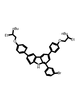 CCCCC(CC)COc1ccc(-c2ccc3[nH]c4c(-c5cccc(Br)c5)cc(-c5ccc(OCC(CC)CCCC)cc5)cc4c3c2)cc1